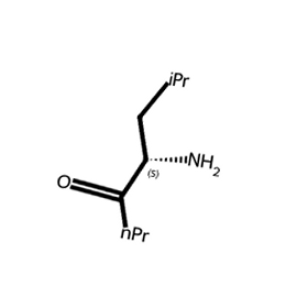 CCCC(=O)[C@@H](N)CC(C)C